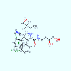 CCC1(C[C@@H]2N[C@@H](C(=O)NCC[C@H](O)CO)[C@H](c3cccc(Cl)c3F)[C@@]2(C#N)c2ccc(Cl)cc2F)COC1